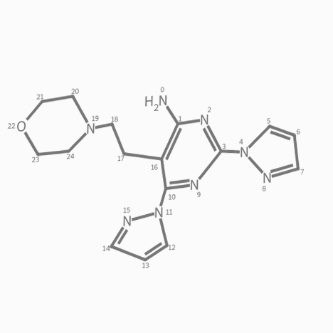 Nc1nc(-n2cccn2)nc(-n2cccn2)c1CCN1CCOCC1